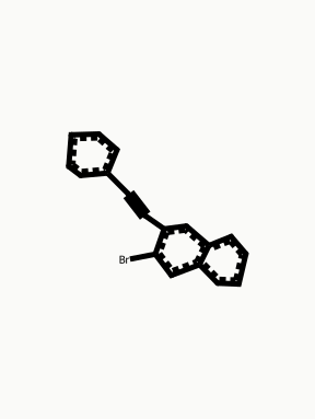 Brc1cc2ccccc2cc1C#Cc1ccccc1